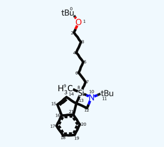 CC(C)(C)OCCCCCC[Si]1(C)N(C(C)(C)C)CC12C=Cc1ccccc12